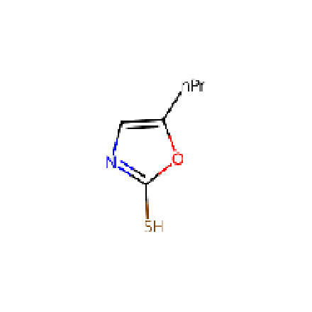 CCCc1cnc(S)o1